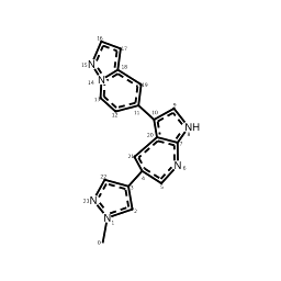 Cn1cc(-c2cnc3[nH]cc(-c4ccn5nccc5c4)c3c2)cn1